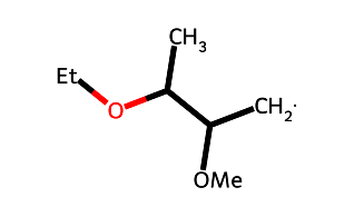 [CH2]C(OC)C(C)OCC